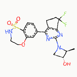 C[C@H]1[C@H](O)CN1c1nc(-c2ccc3c(c2)OCCNS3(=O)=O)c2c(n1)C(F)(F)CC2